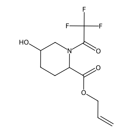 C=CCOC(=O)C1CCC(O)CN1C(=O)C(F)(F)F